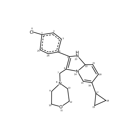 Clc1ccc(C2=C(CN3CCOCC3)N3C=C(C4CC4)C=CC3N2)cc1